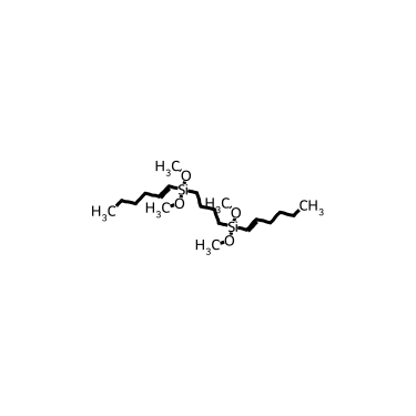 CCCCC=C[Si](CCCC[Si](C=CCCCC)(OC)OC)(OC)OC